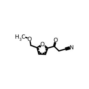 COCc1ccc(C(=O)CC#N)o1